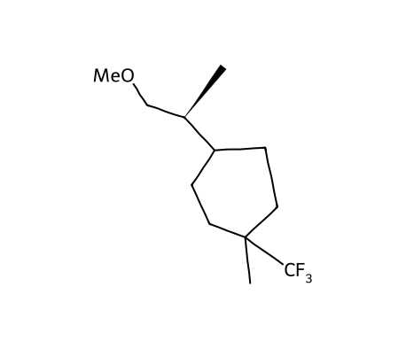 COC[C@@H](C)C1CCC(C)(C(F)(F)F)CC1